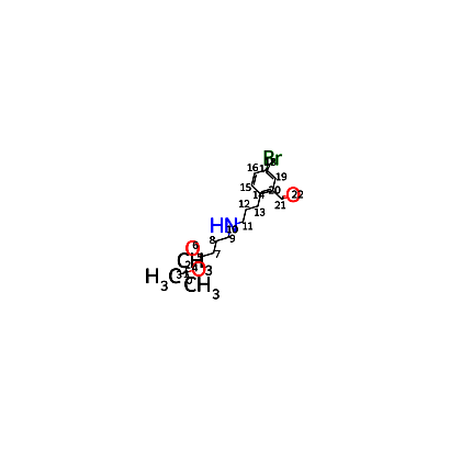 CC(C)(C)OC(=O)CCCNCCCc1ccc(Br)cc1C=O